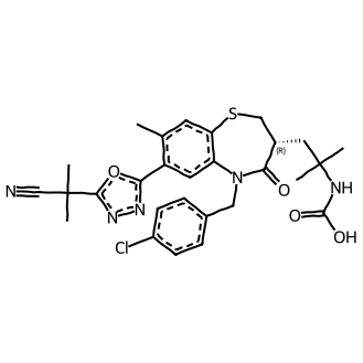 Cc1cc2c(cc1-c1nnc(C(C)(C)C#N)o1)N(Cc1ccc(Cl)cc1)C(=O)[C@@H](CC(C)(C)NC(=O)O)CS2